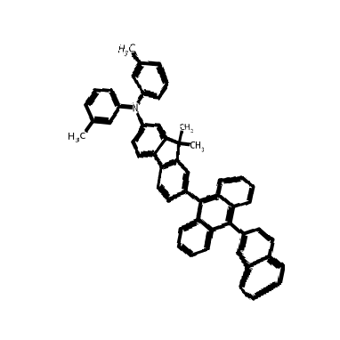 Cc1cccc(N(c2cccc(C)c2)c2ccc3c(c2)C(C)(C)c2cc(-c4c5ccccc5c(-c5ccc6ccccc6c5)c5ccccc45)ccc2-3)c1